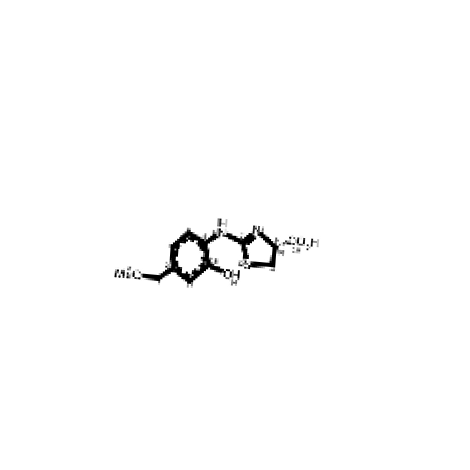 COCc1ccc(NC2=N[C@H](C(=O)O)CS2)c(O)c1